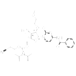 COCCO[C@@H]1[C@H](N)[C@@H](COP(OCCC#N)N(C(C)C)C(C)C)O[C@H]1n1ccc(NC(=O)c2ccccc2)nc1=O